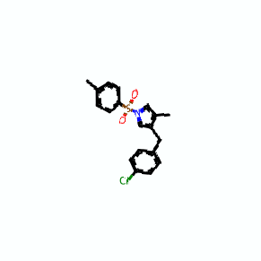 Cc1ccc(S(=O)(=O)n2cc(C)c(Cc3ccc(Cl)cc3)c2)cc1